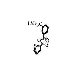 O=C(O)c1cccc(N2OOC(c3cccs3)O2)c1